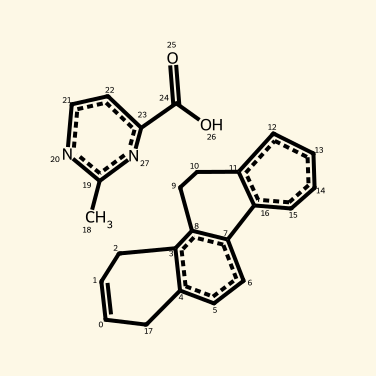 C1=CCc2c(ccc3c2CCc2ccccc2-3)C1.Cc1nccc(C(=O)O)n1